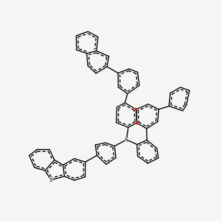 c1ccc(-c2cccc(-c3ccccc3N(c3ccc(-c4cccc(-c5ccc6ccccc6c5)c4)cc3)c3ccc(-c4ccc5sc6ccccc6c5c4)cc3)c2)cc1